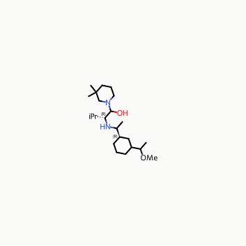 COC(C)C1CCC[C@@H](C(C)N[C@H](C(C)C)C(O)N2CCCC(C)(C)C2)C1